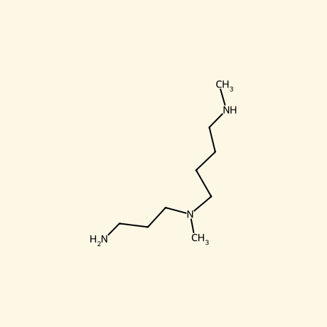 CNCCCCN(C)CCCN